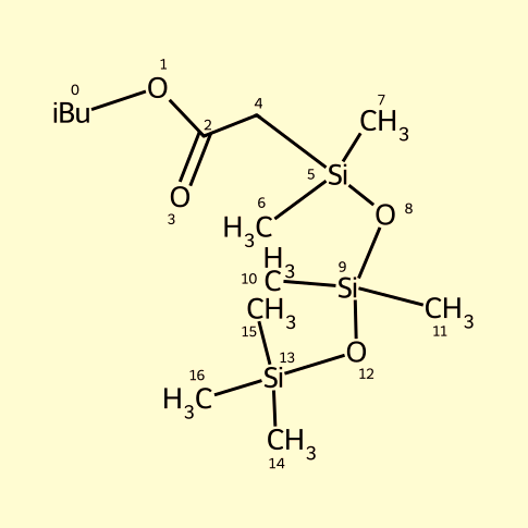 CCC(C)OC(=O)C[Si](C)(C)O[Si](C)(C)O[Si](C)(C)C